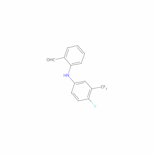 O=Cc1ccccc1Nc1ccc(F)c(C(F)(F)F)c1